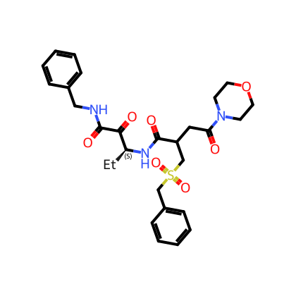 CC[C@H](NC(=O)C(CC(=O)N1CCOCC1)CS(=O)(=O)Cc1ccccc1)C(=O)C(=O)NCc1ccccc1